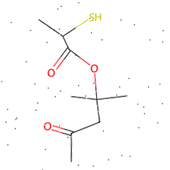 CC(=O)CC(C)(C)OC(=O)C(C)S